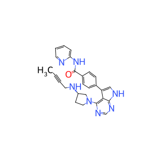 CC#CCN[C@@H]1CCN(c2ncnc3[nH]cc(-c4ccc(C(=O)Nc5ccccn5)cc4)c23)C1